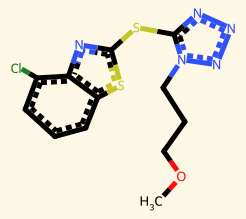 COCCCn1nnnc1Sc1nc2c(Cl)cccc2s1